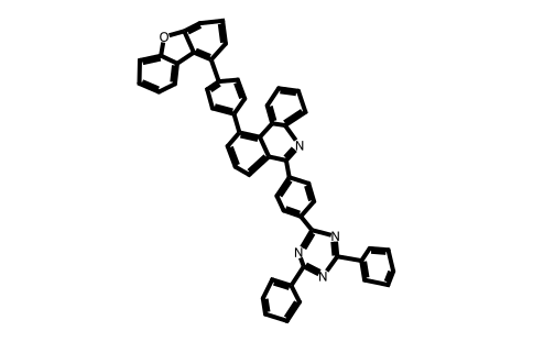 c1ccc(-c2nc(-c3ccccc3)nc(-c3ccc(-c4nc5ccccc5c5c(-c6ccc(-c7cccc8oc9ccccc9c78)cc6)cccc45)cc3)n2)cc1